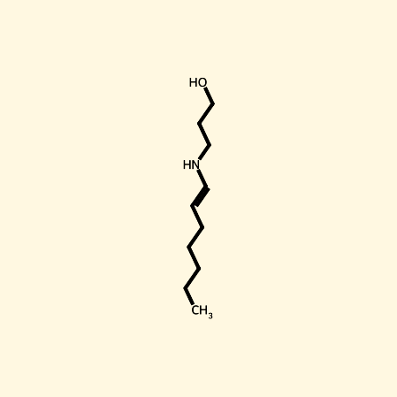 CCCCCC=CNCCCO